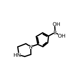 OB(O)c1ccc(N2CCNCC2)cc1